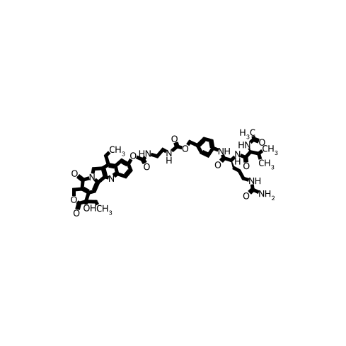 CCc1c2c(nc3ccc(OC(=O)NCCNC(=O)OCc4ccc(NC(=O)[C@H](CCCNC(N)=O)NC(=O)[C@@H](NC(C)=O)C(C)C)cc4)cc13)-c1cc3c(c(=O)n1C2)COC(=O)C3(O)CC